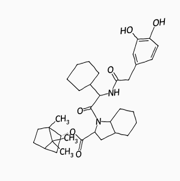 CC1(C)C2CCC1(C)[C@H](OC(=O)C1CC3CCCCC3N1C(=O)C(NC(=O)Cc1ccc(O)c(O)c1)C1CCCCC1)C2